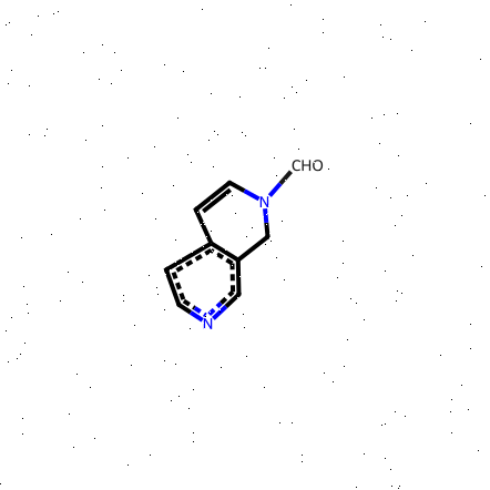 O=CN1C=Cc2ccncc2C1